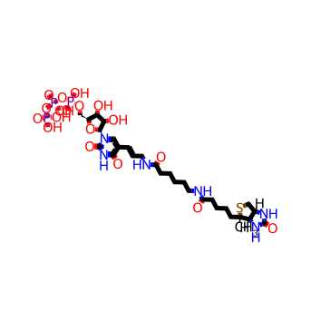 C[C@]1(CCCCC(=O)NCCCCCC(=O)NC/C=C/c2cn([C@@H]3O[C@H](COP(=O)(O)OP(=O)(O)OP(=O)(O)O)C(O)C3O)c(=O)[nH]c2=O)SC[C@H]2NC(=O)N[C@H]21